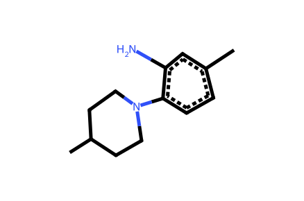 Cc1ccc(N2CCC(C)CC2)c(N)c1